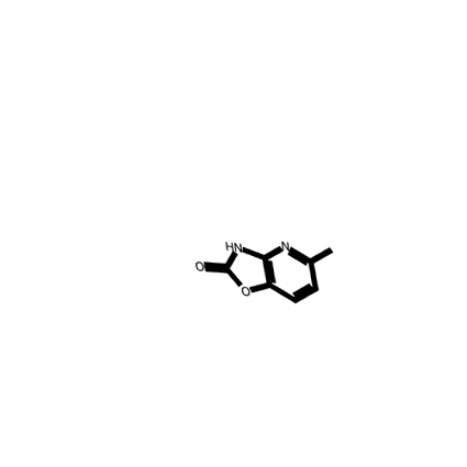 Cc1ccc2oc(=O)[nH]c2n1